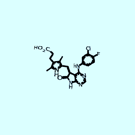 Cc1[nH]c(C=C2C(=O)Nc3ncnc(Nc4ccc(F)c(Cl)c4)c32)c(C)c1CCC(=O)O